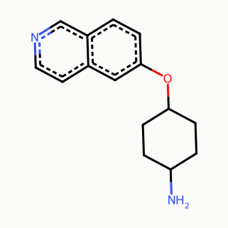 NC1CCC(Oc2ccc3cnccc3c2)CC1